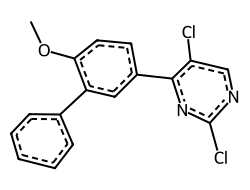 COc1ccc(-c2nc(Cl)ncc2Cl)cc1-c1ccccc1